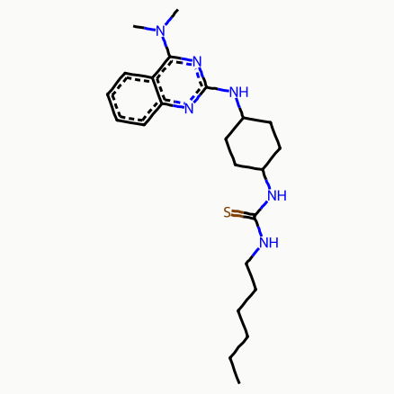 CCCCCCNC(=S)NC1CCC(Nc2nc(N(C)C)c3ccccc3n2)CC1